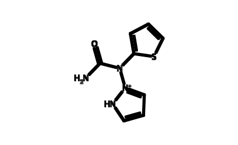 NC(=O)N(c1cccs1)[n+]1ccc[nH]1